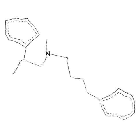 CC(CN(C)CCCCc1ccccc1)c1ccccc1